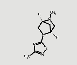 Cc1nsc(N2C[C@@H]3C[C@H]2CN3C)n1